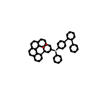 c1ccc(-c2ccccc2-c2ccc(N(c3ccccc3)c3cccc(-c4cccc5ccc6ccc7ccccc7c6c45)c3)cc2)cc1